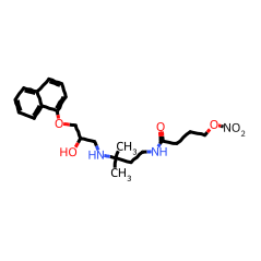 CC(C)(CCNC(=O)CCCO[N+](=O)[O-])NCC(O)COc1cccc2ccccc12